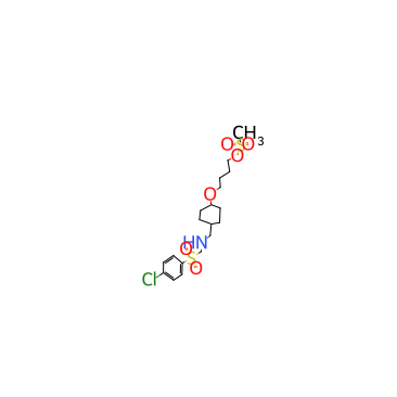 CS(=O)(=O)OCCCCOC1CCC(CNCS(=O)(=O)c2ccc(Cl)cc2)CC1